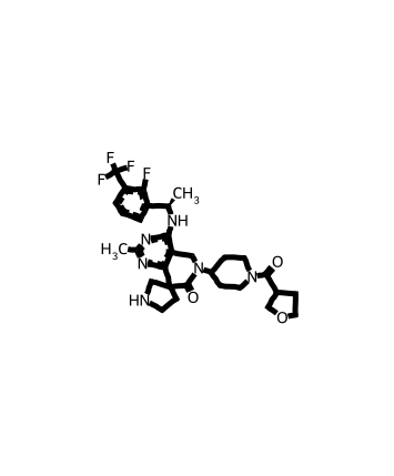 Cc1nc(N[C@H](C)c2cccc(C(F)(F)F)c2F)c2c(n1)C1(CCNC1)C(=O)N(C1CCN(C(=O)C3CCOC3)CC1)C2